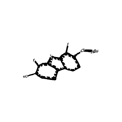 CCCCOc1ccc2c(sc3c(F)c(O)ccc32)c1F